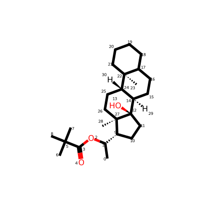 CC(OC(=O)C(C)(C)C)[C@H]1CC[C@@]2(O)[C@@H]3CCC4CCCC[C@]4(C)[C@H]3CC[C@]12C